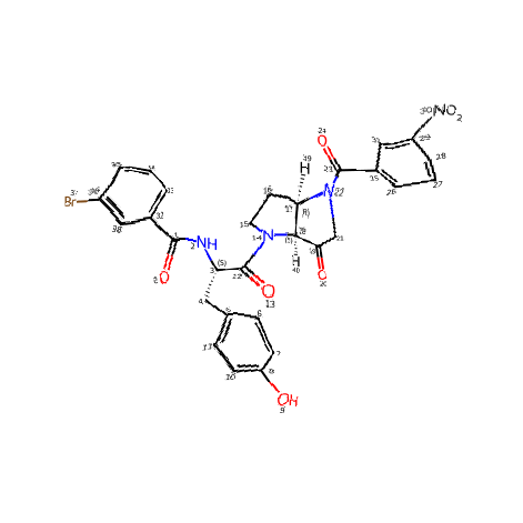 O=C(N[C@@H](Cc1ccc(O)cc1)C(=O)N1CC[C@@H]2[C@H]1C(=O)CN2C(=O)c1cccc([N+](=O)[O-])c1)c1cccc(Br)c1